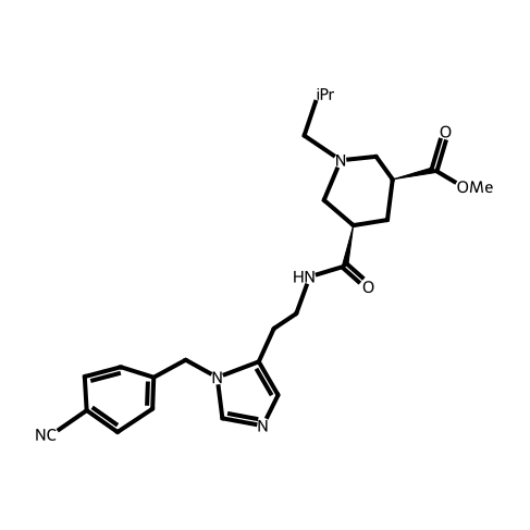 COC(=O)[C@H]1C[C@@H](C(=O)NCCc2cncn2Cc2ccc(C#N)cc2)CN(CC(C)C)C1